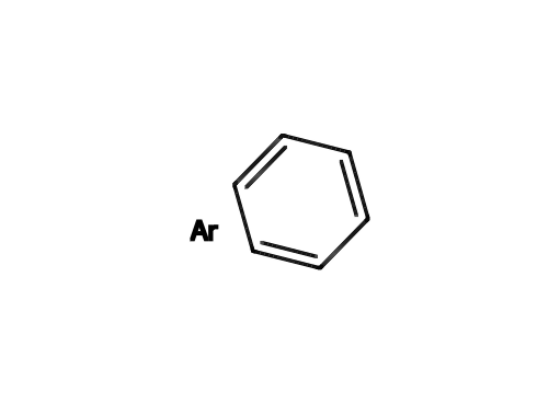 [Ar].c1ccccc1